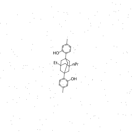 CCCC12CC3(CC)CC(c4ccc(C)cc4O)(C1)CC(c1ccc(C)cc1O)(C3)C2